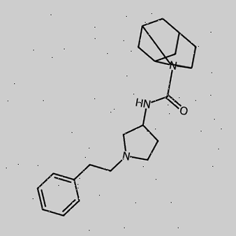 O=C(NC1CCN(CCc2ccccc2)C1)N1C2CC3CC(C2)CC1C3